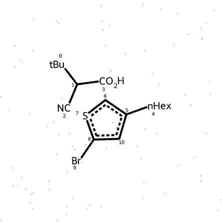 CC(C)(C)C(C#N)C(=O)O.CCCCCCc1csc(Br)c1